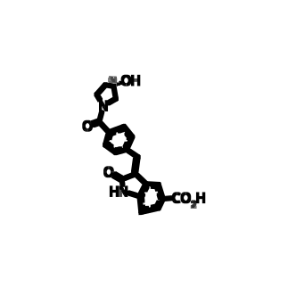 O=C1Nc2ccc(C(=O)O)cc2C1=Cc1ccc(C(=O)N2CC[C@H](O)C2)cc1